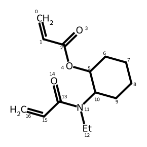 C=CC(=O)OC1CCCCC1N(CC)C(=O)C=C